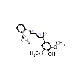 COc1ccccc1/C=C/C=C/C(=O)c1cc(OC)c(O)c(OC)c1